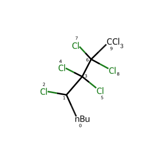 CCCCC(Cl)C(Cl)(Cl)C(Cl)(Cl)C(Cl)(Cl)Cl